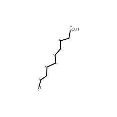 O=S(=O)(O)CCCCCCCCCl